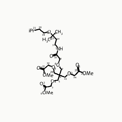 COC(=O)COCC(COCC(=O)NCCC(C)(C)OCCC(C)C)(COCC(=O)OC)COCC(=O)OC